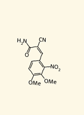 COc1ccc(/C=C(/C#N)C(N)=O)c([N+](=O)[O-])c1OC